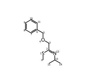 CSC(COCc1ccccc1)=NC(C)C